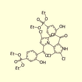 CCOP(=O)(OCC)c1ccc(C(=O)c2[nH]c(Cl)c(Cl)c2-n2c(C(=O)c3ccc(P(=O)(OCC)OCC)cc3O)cc(Cl)c2Cl)c(O)c1